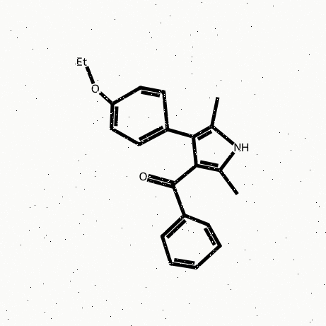 CCOc1ccc(-c2c(C)[nH]c(C)c2C(=O)c2ccccc2)cc1